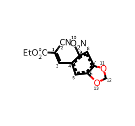 CCOC(=O)/C(C#N)=C/c1cc2c(cc1[N+](=O)[O-])OCO2